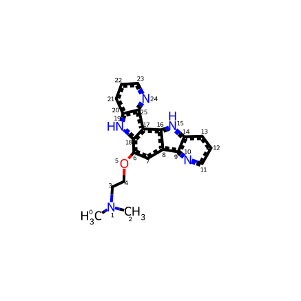 CN(C)CCOc1cc2c3ncccc3[nH]c2c2c1[nH]c1cccnc12